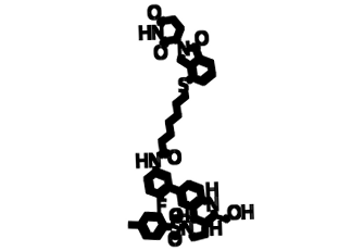 Cc1ccc(S(=O)(=O)N2CC[C@@H]3[C@H](CO)Nc4ccc(-c5cc(NC(=O)CCCCCCSc6cccc7c6CN(C6CCC(=O)NC6=O)C7=O)ccc5F)cc4[C@@H]32)cc1